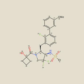 CCS(=O)(=O)N[C@@H]1[C@H](Cc2cccc(-c3cccc(OC)c3)c2F)N(C(=O)C2(O)CCC2)CC1(F)F